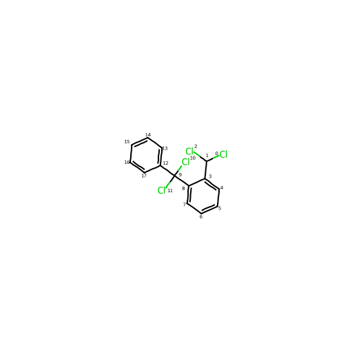 ClC(Cl)c1ccccc1C(Cl)(Cl)c1ccccc1